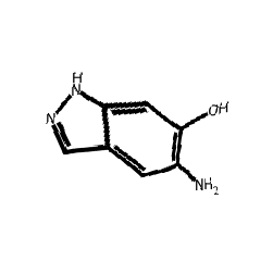 Nc1cc2cn[nH]c2cc1O